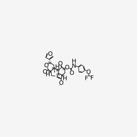 COC1=C[C@@]23CC[C@H]4C(=O)O[C@H](c5ccoc5)C[C@]4(C)[C@H]2C(=O)[C@@H](OC(=O)Nc2ccc(OC(F)F)cc2)C[C@@H]13